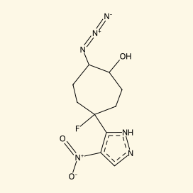 [N-]=[N+]=NC1CCC(F)(c2[nH]ncc2[N+](=O)[O-])CCC1O